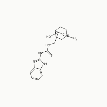 B[N+]12CCC(CC1)C(O)(CNC(=S)Nc1nc3ccccc3[nH]1)C2